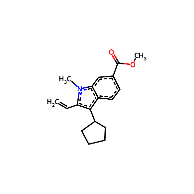 C=Cc1c(C2CCCC2)c2ccc(C(=O)OC)cc2n1C